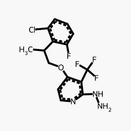 CC(COc1ccnc(NN)c1C(F)(F)F)c1c(F)cccc1Cl